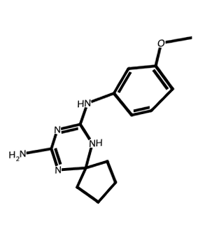 COc1cccc(NC2=NC(N)=NC3(CCCC3)N2)c1